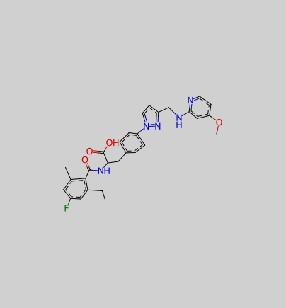 CCc1cc(F)cc(C)c1C(=O)NC(Cc1ccc(-n2ccc(CNc3cc(OC)ccn3)n2)cc1)C(=O)O